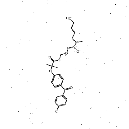 CN(CCCCO)[N+]([O-])=NOCOC(=O)C(C)(C)Oc1ccc(C(=O)c2ccc(Cl)cc2)cc1